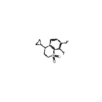 O=S1(=O)CCC(C2CC2)c2ccc(F)c(F)c21